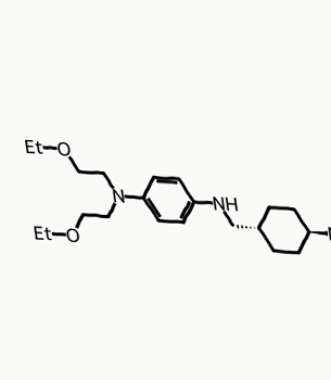 CCOCCN(CCOCC)c1ccc(NC[C@H]2CC[C@H](N)CC2)cc1